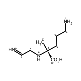 C[C@](CCCN)(NCC=N)C(=O)O